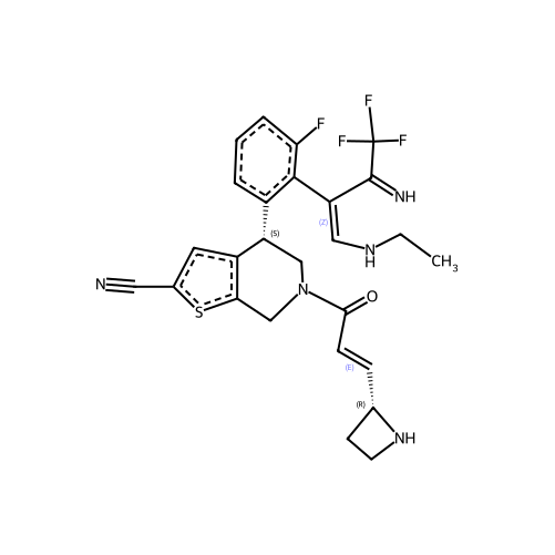 CCN/C=C(\C(=N)C(F)(F)F)c1c(F)cccc1[C@@H]1CN(C(=O)/C=C/[C@H]2CCN2)Cc2sc(C#N)cc21